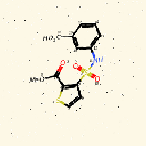 COC(=O)c1sccc1S(=O)(=O)Nc1cccc(C(=O)O)c1